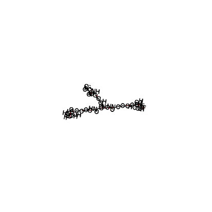 O=C(CCOCC(COCCC(=O)NCCOCCOCCOCCOC[C@@]12CO[C@@H](O1)[C@H](NC(=O)C(F)(F)F)[C@@H](O)[C@H]2O)NC(=O)COCCOCCOCCNc1ccc([N+](=O)[O-])cc1[N+](=O)[O-])NCCOCCOCCOCCOC[C@@]12CO[C@@H](O1)[C@H](NC(=O)C(F)(F)F)[C@@H](O)[C@H]2O